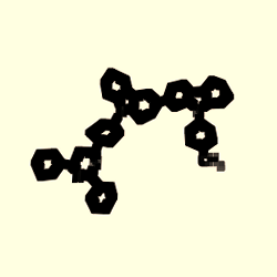 Cc1ccc(-n2c3ccccc3c3ccc(-c4ccc5c(c4)c4ccccc4n5-c4ccc(-c5cc(-c6ccccc6)nc(-c6ccccc6)n5)cc4)cc32)cc1